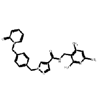 Cc1cc(N)nc(C)c1CNC(=O)c1cnn(Cc2ccc(Cn3ccccc3=O)cc2)c1